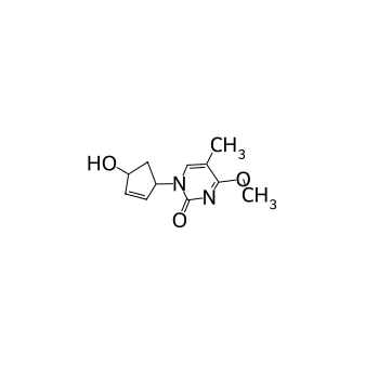 COc1nc(=O)n(C2C=CC(O)C2)cc1C